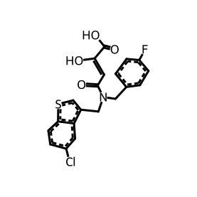 O=C(O)C(O)=CC(=O)N(Cc1ccc(F)cc1)Cc1csc2ccc(Cl)cc12